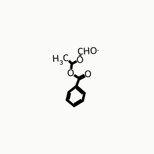 CC(O[C]=O)OC(=O)c1ccccc1